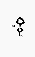 Cl.NC1CN(c2ccccc2)C1